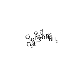 C=CC1(C(=O)OC(c2ccccc2)c2ccccc2)CS[C@@H]2C(NC(=O)Cc3csc(N)n3)C(=O)N2C1